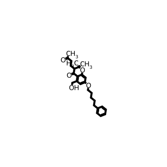 CC(=O)CCC1C(=O)c2c(CO)cc(OCCCCCc3ccccc3)cc2OC1(C)C